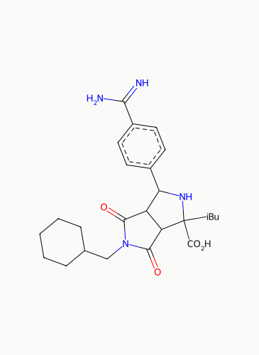 CCC(C)C1(C(=O)O)NC(c2ccc(C(=N)N)cc2)C2C(=O)N(CC3CCCCC3)C(=O)C21